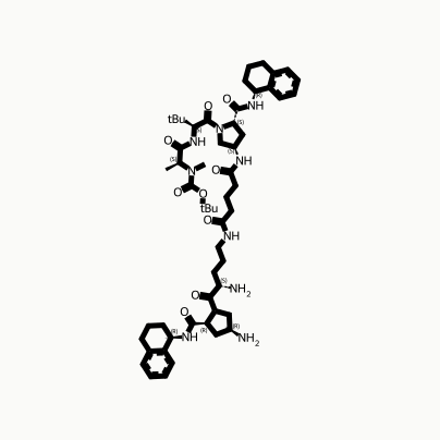 C[C@@H](C(=O)N[C@H](C(=O)N1C[C@@H](NC(=O)CCCC(=O)NCCC[C@H](N)C(=O)C2C[C@@H](N)C[C@H]2C(=O)N[C@@H]2CCCc3ccccc32)C[C@H]1C(=O)N[C@@H]1CCCc2ccccc21)C(C)(C)C)N(C)C(=O)OC(C)(C)C